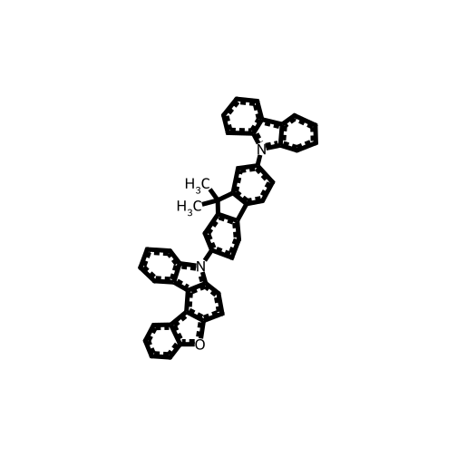 CC1(C)c2cc(-n3c4ccccc4c4ccccc43)ccc2-c2ccc(-n3c4ccccc4c4c5c(ccc43)oc3ccccc35)cc21